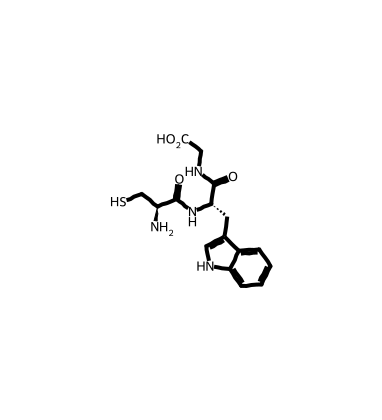 N[C@@H](CS)C(=O)N[C@@H](Cc1c[nH]c2ccccc12)C(=O)NCC(=O)O